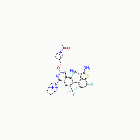 CC(=O)N1CC2(COc3nc(N4CC5CCC(C4)N5)c4cc(C(F)(F)F)c(-c5ccc(F)c6sc(N)c(C#N)c56)c(F)c4n3)CC1C2